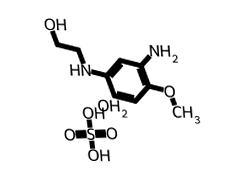 COc1ccc(NCCO)cc1N.O.O=S(=O)(O)O